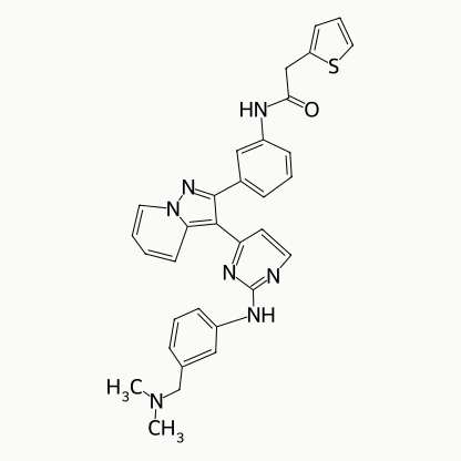 CN(C)Cc1cccc(Nc2nccc(-c3c(-c4cccc(NC(=O)Cc5cccs5)c4)nn4ccccc34)n2)c1